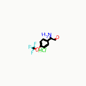 Cl.NC(C=O)c1ccc(OC(F)(F)F)cc1